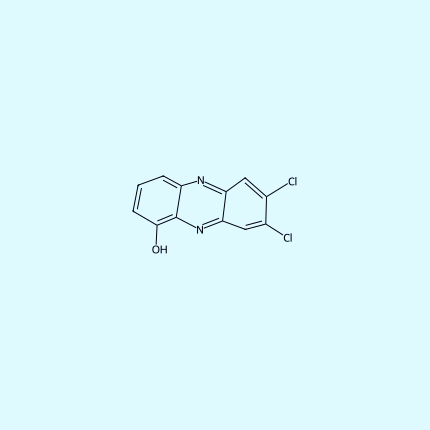 Oc1cccc2nc3cc(Cl)c(Cl)cc3nc12